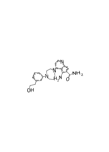 NC(=O)c1sc2nccc(N3CCCN(c4cccc(CCO)c4)CC3)c2c1N